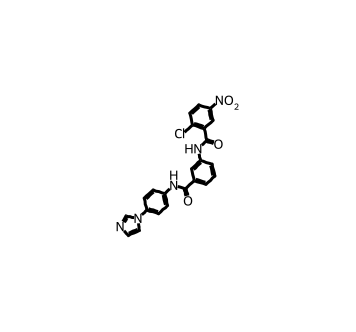 O=C(Nc1ccc(-n2ccnc2)cc1)c1cccc(NC(=O)c2cc([N+](=O)[O-])ccc2Cl)c1